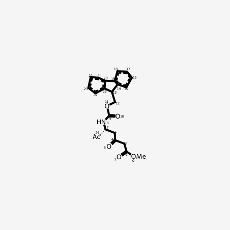 COC(=O)CC(=O)C[C@@H](NC(=O)OCC1c2ccccc2-c2ccccc21)C(C)=O